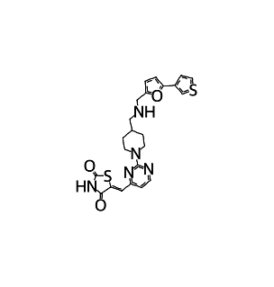 O=C1NC(=O)C(=Cc2ccnc(N3CCC(CNCc4ccc(-c5ccsc5)o4)CC3)n2)S1